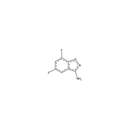 Nc1noc2c(F)cc(F)cc12